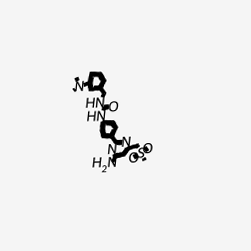 CN(C)c1cccc(CNC(=O)Nc2ccc(-c3nc(N)cc(CS(C)(=O)=O)n3)cc2)c1